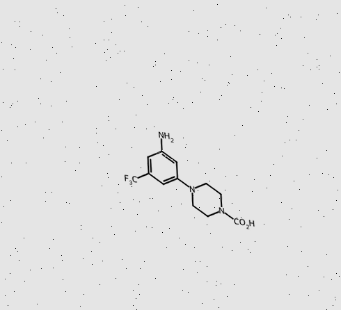 Nc1cc(N2CCN(C(=O)O)CC2)cc(C(F)(F)F)c1